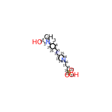 CCN(CCO)c1ccc(/C=C/C2=CCN(CCCCS(=O)(=O)O)C=C2)cc1